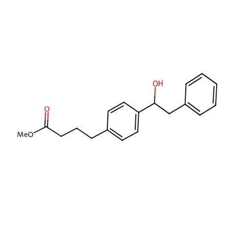 COC(=O)CCCc1ccc(C(O)Cc2ccccc2)cc1